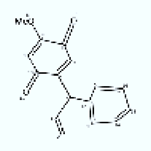 C=CC(C1=CC(=O)C(OC)=CC1=O)c1ccccc1